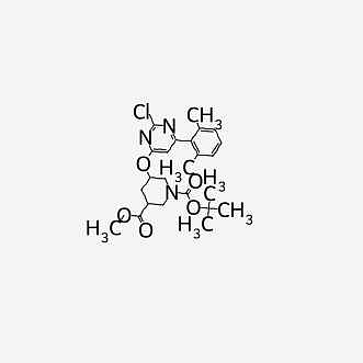 COC(=O)C1CC(Oc2cc(-c3c(C)cccc3C)nc(Cl)n2)CN(C(=O)OC(C)(C)C)C1